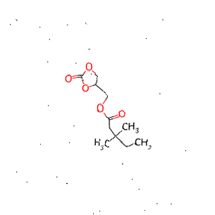 CCC(C)(C)CC(=O)OCC1COC(=O)O1